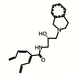 C=C/C=C\C(=C/C=C)C(=O)NC[C@H](O)CN1CCc2ccccc2C1